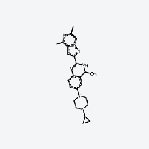 Cc1cn2nc(C3=Nc4ccc(N5CCN(C6CC6)CC5)cc4C(O)N3)cc2c(C)n1